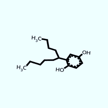 CCCCCC(CCCC)c1cc(O)ccc1O